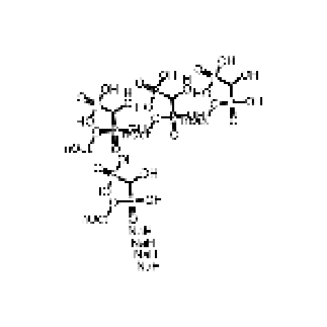 CCCCCCCCOP(=O)(O)C(O)P(=O)(O)O.CCCCCCCCOP(=O)(O)C(O)P(=O)(O)O.CCCCCCCCOP(=O)(O)C(O)P(=O)(O)O.CCCCCCCCOP(=O)(O)C(O)P(=O)(O)O.[NaH].[NaH].[NaH].[NaH]